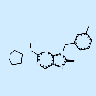 CN(c1ncc2[nH]c(=O)n(Cc3cccc(I)c3)c2n1)[C@@H]1CCNC1